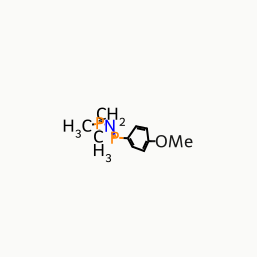 C=P(C)(C)N=Pc1ccc(OC)cc1